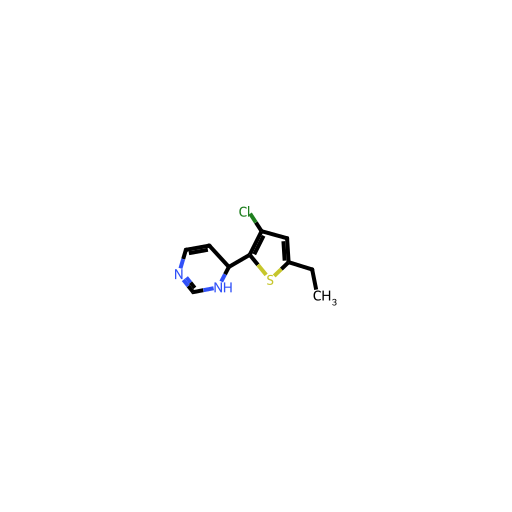 CCc1cc(Cl)c(C2C=CN=CN2)s1